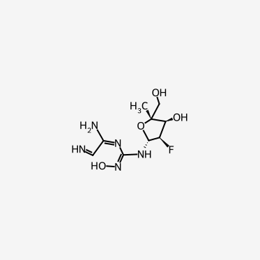 C[C@]1(CO)O[C@@H](NC(=N/O)/N=C(/N)C=N)[C@H](F)[C@@H]1O